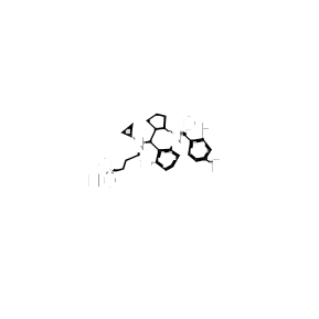 O=C(O)CCC(=O)N(C1CC1)C1c2ccccc2N(C(=O)c2ccc(F)cc2F)C2CCCC21